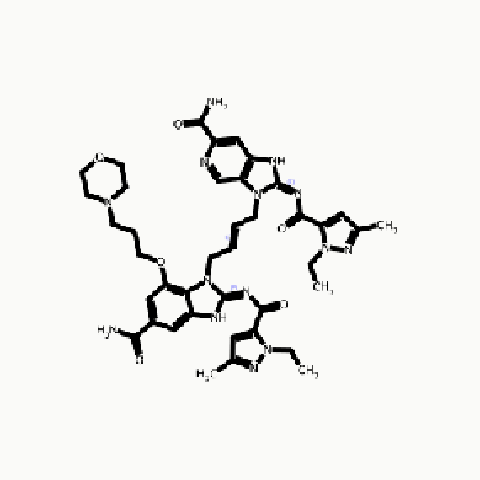 CCn1nc(C)cc1C(=O)/N=c1/[nH]c2cc(C(N)=O)ncc2n1C/C=C/Cn1/c(=N/C(=O)c2cc(C)nn2CC)[nH]c2cc(C(N)=O)cc(OCCCN3CCOCC3)c21